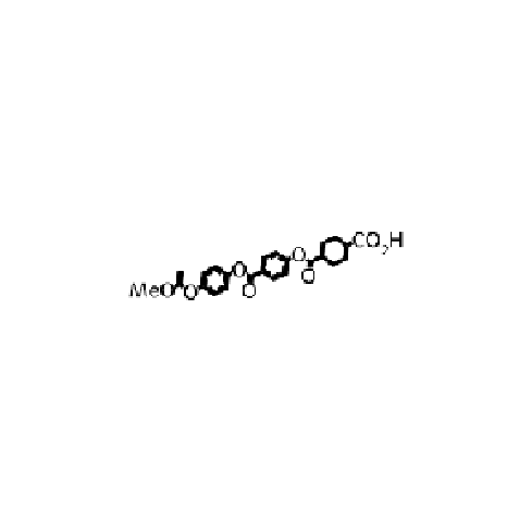 C=C(OC)Oc1ccc(OC(=O)c2ccc(OC(=O)C3CCC(C(=O)O)CC3)cc2)cc1